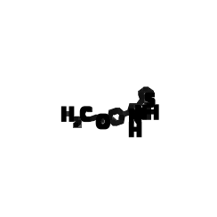 C=CCOc1ccc(C2=CC(c3cccs3)NN2)cc1